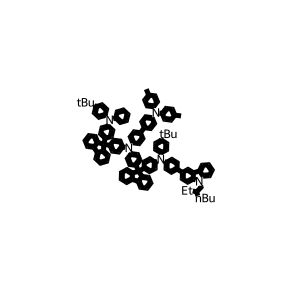 CCCCC(CC)Cn1c2ccccc2c2cc(-c3ccc(N(c4ccc(C(C)(C)C)cc4)c4ccc(C5(c6ccc(N(c7ccc(-c8ccc(N(c9ccc(C)cc9)c9ccc(C)cc9)cc8)cc7)c7ccc(C8(c9ccc(N(c%10ccccc%10)c%10ccc(C(C)(C)C)cc%10)cc9)c9ccccc9-c9ccccc98)cc7)cc6)c6ccccc6-c6ccccc65)cc4)cc3)ccc21